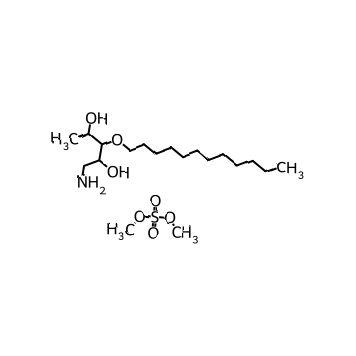 CCCCCCCCCCCCOC(C(C)O)C(O)CN.COS(=O)(=O)OC